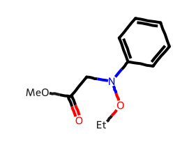 CCON(CC(=O)OC)c1ccccc1